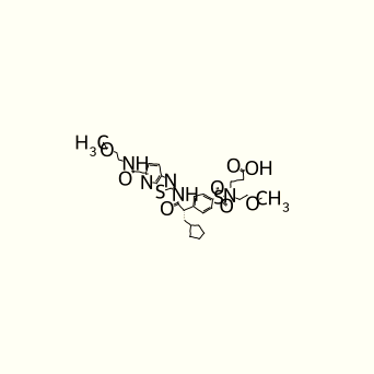 COCCNC(=O)c1ccc2nc(NC(=O)[C@@H](CC3CCCC3)c3ccc(S(=O)(=O)N(CCOC)CCC(=O)O)cc3)sc2n1